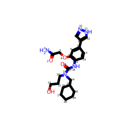 NC(=O)COc1cc(-c2cn[nH]c2)ccc1NC(=O)N(CCCO)CC1CCCCC1